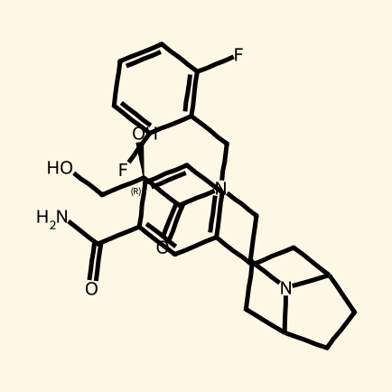 NC(=O)c1cccc(C2CC3CCC(C2)N3CCN(Cc2c(F)cccc2F)C(=O)[C@H](O)CO)c1